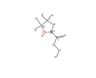 C=C(CCC)B1CC(C)(C)C(C)(C)O1